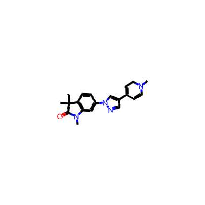 CN1C=CC(c2cnn(-c3ccc4c(c3)N(C)C(=O)C4(C)C)c2)=CC1